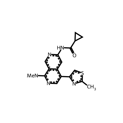 CNc1ncc(-c2csc(C)n2)c2cc(NC(=O)C3CC3)ncc12